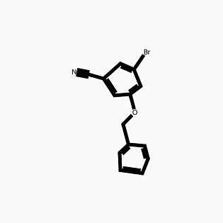 N#Cc1cc(Br)cc(OCc2ccccc2)c1